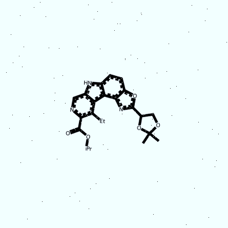 CCc1c(C(=O)OC(C)C)ncc2[nH]c3ccc4oc(C5COC(C)(C)O5)nc4c3c12